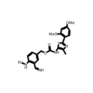 CCNc1ccc(COC(=O)Nc2sc(-c3ccc(OC)cc3OC)nc2C)cc1C=N